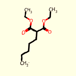 [CH2]CCCCC(C(=O)OCC)C(=O)OCC